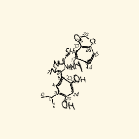 CC(C)c1cc(-c2nnc(S)n2Nc2ccc3c(c2)OCO3)c(O)cc1O